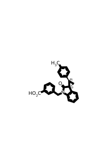 Cc1ccc([C@H]2C[C@]23C(=O)N(Cc2cccc(C(=O)O)c2)c2ccccc23)cc1